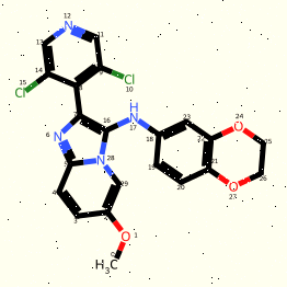 COc1ccc2nc(-c3c(Cl)cncc3Cl)c(Nc3ccc4c(c3)OCCO4)n2c1